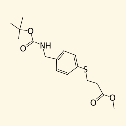 COC(=O)CCSc1ccc(CNC(=O)OC(C)(C)C)cc1